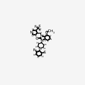 COc1cccc2c1n(Cc1ccncc1C(F)(F)F)c(=O)n2C1CCN(c2c(F)cccc2F)CC1